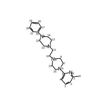 Cc1cccc(N2CCN(CCN3CCN(c4ccccc4)CC3)CC2)n1